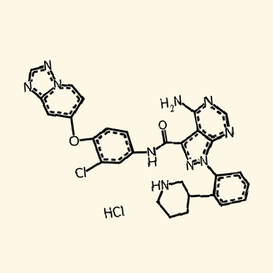 Cl.Nc1ncnc2c1c(C(=O)Nc1ccc(Oc3ccn4ncnc4c3)c(Cl)c1)nn2-c1ccccc1C1CCCNC1